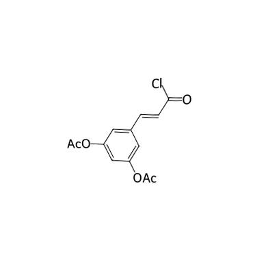 CC(=O)Oc1cc(C=CC(=O)Cl)cc(OC(C)=O)c1